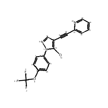 FC(F)(F)Oc1ccc(-n2ncc(C#Cc3ccccn3)c2Cl)cc1